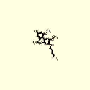 CCCCCNc1nc(C)c(-c2c(OC)cc(Cl)cc2OC)nc1OC